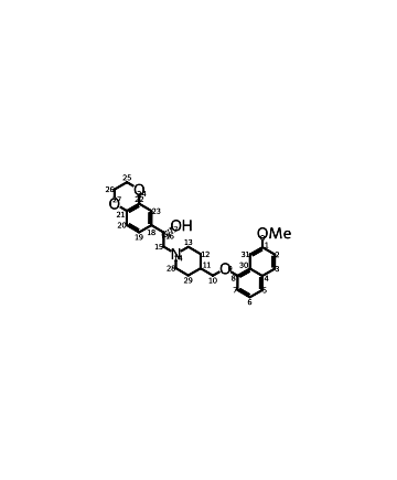 COc1ccc2cccc(OCC3CCN(C[C@@H](O)c4ccc5c(c4)OCCO5)CC3)c2c1